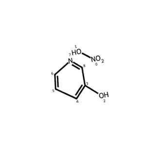 O=[N+]([O-])O.Oc1cccnc1